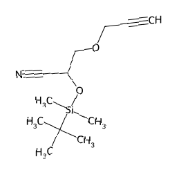 C#CCOCC(C#N)O[Si](C)(C)C(C)(C)C